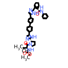 COC(=O)N[C@H](C(=O)N1CCC[C@H]1c1ncc(-c2ccc(-c3ccc(-c4cnc(C5C6CCC(C6)[C@@H]5C(=O)Nc5ccccc5)[nH]4)cc3)cc2)[nH]1)C(C)C